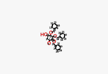 O=C1CC(O)C(OCc2ccccc2)C(OCc2ccccc2)[C@@H]1OCc1ccccc1